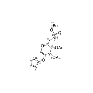 CC(=O)OC1C(Oc2ncco2)=COC(CNC(=O)OC(C)(C)C)C1OC(C)=O